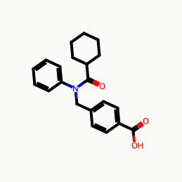 O=C(O)c1ccc(CN(C(=O)C2CCCCC2)c2ccccc2)cc1